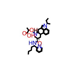 CC(O)C(=O)O.CCCCC(NC(=O)[C@@H]1CC2c3cccc4c3c(cn4C(C)CC)C[C@H]2N(C)C1)c1ccccn1